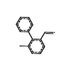 [CH]=Cc1cccc(C)c1-c1ccccc1